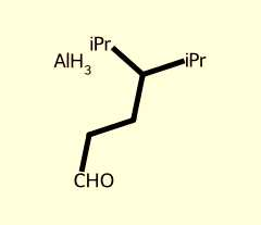 CC(C)C(CCC=O)C(C)C.[AlH3]